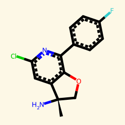 C[C@]1(N)COc2c1cc(Cl)nc2-c1ccc(F)cc1